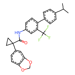 CC(C)c1ccc(-c2ccc(NC(=O)C3(c4ccc5c(c4)OCO5)CC3)cc2C(F)(F)F)cc1